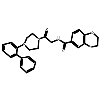 O=C(NCC(=O)N1CCN(c2ccccc2-c2ccccc2)CC1)c1ccc2c(c1)OCCO2